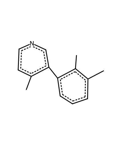 Cc1ccncc1-c1cccc(C)c1C